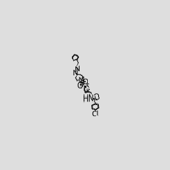 O=C(NCc1ccc(S(=O)(=O)N2CCC(N=NCCc3ccccc3)CC2)s1)c1ccc(Cl)cc1